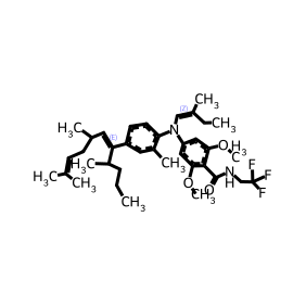 CCCC(C)/C(=C\C(C)CC=C(C)C)c1ccc(N(/C=C(/C)CC)c2cc(OC)c(C(=O)NCC(F)(F)F)c(OC)c2)c(C)c1